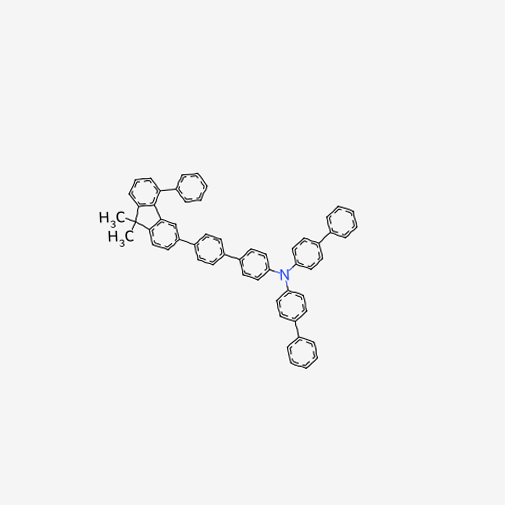 CC1(C)c2ccc(-c3ccc(-c4ccc(N(c5ccc(-c6ccccc6)cc5)c5ccc(-c6ccccc6)cc5)cc4)cc3)cc2-c2c(-c3ccccc3)cccc21